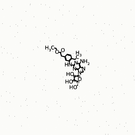 CCOC(=O)Cc1ccc(CC)c(Nc2nc(N)c3ncn([C@@H]4O[C@H](CO)[C@@H](O)[C@H]4O)c3n2)c1